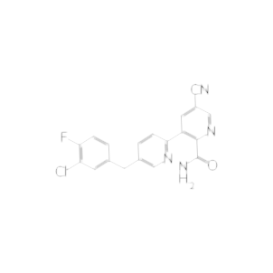 N#Cc1cnc(C(N)=O)c(-c2ccc(Cc3ccc(F)c(Cl)c3)cn2)c1